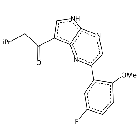 COc1ccc(F)cc1-c1cnc2[nH]cc(C(=O)CC(C)C)c2n1